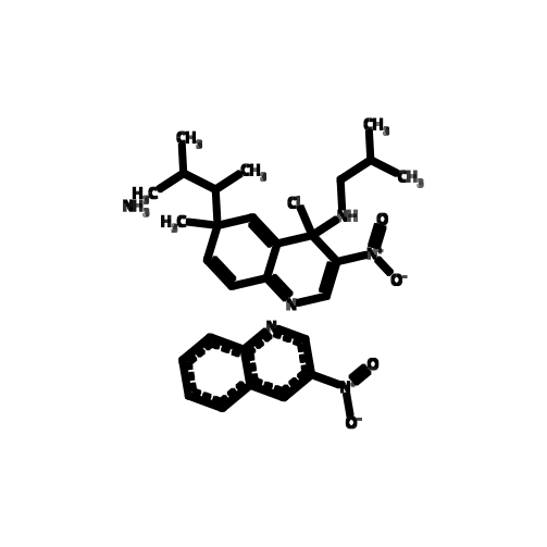 CC(C)CNC1(Cl)C2=CC(C)(C(C)C(C)C)C=CC2=NC=C1[N+](=O)[O-].N.O=[N+]([O-])c1cnc2ccccc2c1